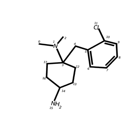 CN(C)C1(Cc2ccccc2Cl)CCC(N)CC1